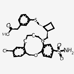 NS(=O)(=O)c1ccc2c(c1)N(C[C@@H]1CC[C@H]1CSc1cccc(CC(=O)O)c1)CCCCc1cc(Cl)ccc1CO2